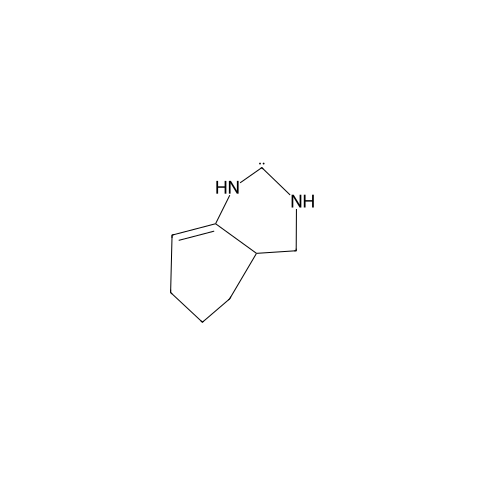 [C]1NCC2CCCC=C2N1